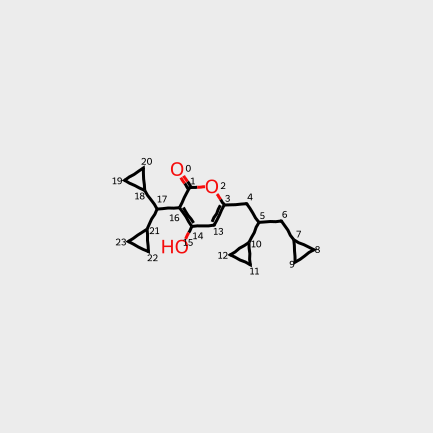 O=c1oc(CC(CC2CC2)C2CC2)cc(O)c1C(C1CC1)C1CC1